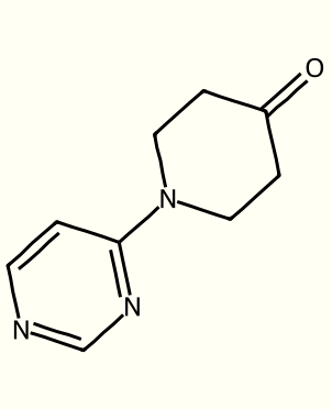 O=C1CCN(c2ccncn2)CC1